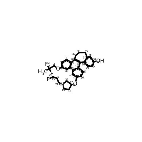 CC(F)(F)COc1ccc(C2=C(c3ccc(O[C@H]4CCN(CCCF)C4)cc3)c3ccc(O)cc3CCC2)cc1